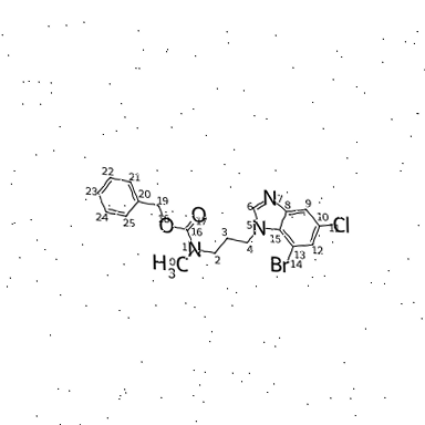 CN(CCCn1cnc2cc(Cl)cc(Br)c21)C(=O)OCc1ccccc1